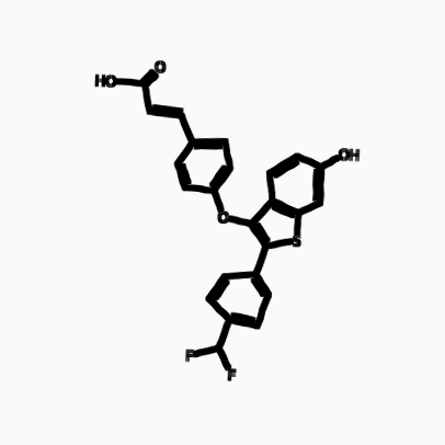 O=C(O)C=Cc1ccc(Oc2c(-c3ccc(C(F)F)cc3)sc3cc(O)ccc23)cc1